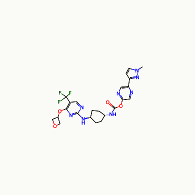 Cn1ccc(-c2cnc(OC(=O)N[C@H]3CC[C@H](Nc4ncc(C(F)(F)F)c(OC5COC5)n4)CC3)cn2)n1